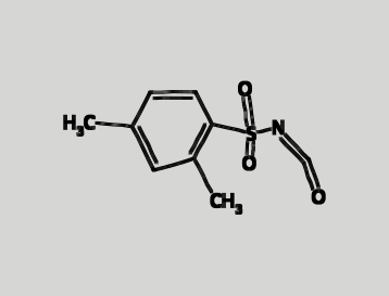 Cc1ccc(S(=O)(=O)N=C=O)c(C)c1